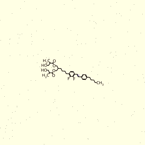 C=C(CO)C(=O)OCC(CCCCc1ccc(/C=C/c2ccc(CCCCC)cc2)c(F)c1F)COC(=O)C(=C)CO